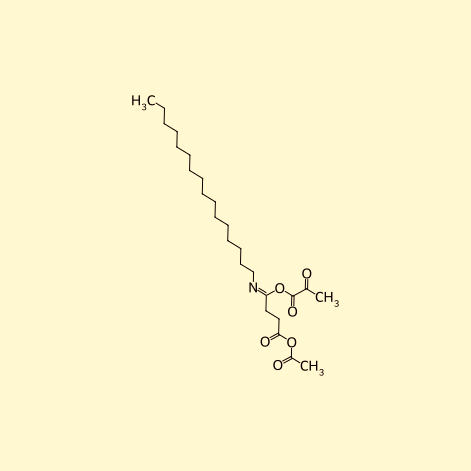 CCCCCCCCCCCCCCCCN=C(CCC(=O)OC(C)=O)OC(=O)C(C)=O